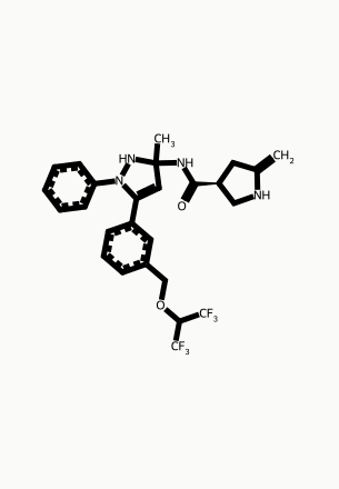 C=C1C[C@H](C(=O)NC2(C)C=C(c3cccc(COC(C(F)(F)F)C(F)(F)F)c3)N(c3ccccc3)N2)CN1